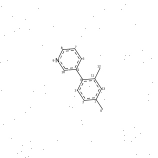 Cc1ccc(-c2cccnc2)c(C)c1